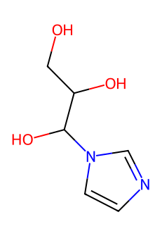 OCC(O)C(O)n1ccnc1